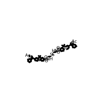 CC(=O)n1cc(-c2cc[n+]3c(c2)C(C)(C)c2cc(S(=O)(=O)NCCSSCCNS(=O)(=O)c4ccc5c(c4)C(C)(C)c4cc(-c6cn(C(C)=O)c7ccccc67)cc[n+]4-5)ccc2-3)c2ccccc21